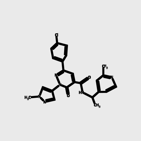 CC(NC(=O)c1cc(-c2ccc(Cl)cc2)nn(-c2cnn(C)c2)c1=O)c1ccnc(C(F)(F)F)c1